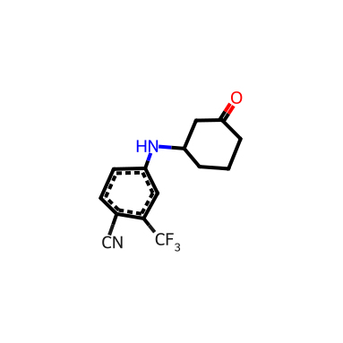 N#Cc1ccc(NC2CCCC(=O)C2)cc1C(F)(F)F